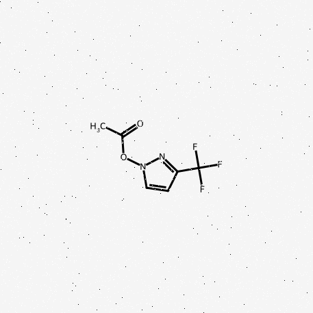 CC(=O)On1ccc(C(F)(F)F)n1